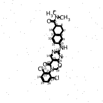 CN(C)C(=O)C1CCc2cc(Nc3ncc4c(n3)OCN(c3c(Cl)cccc3Cl)C4=O)ccc2C1